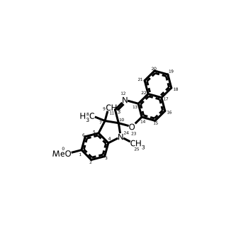 COc1ccc2c(c1)C(C)(C)C1(C=Nc3c(ccc4ccccc34)O1)N2C